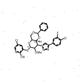 COC1C(n2cc(-c3ccc(Cl)c(F)c3)nn2)[C@H]2OC(c3ccccc3)OCC2O[C@@H]1Sc1cc(Cl)cnc1C#N